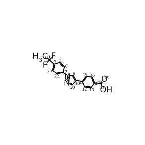 CC(F)(F)c1ccc(-n2cc(-c3ccc(C(=O)O)cc3)cn2)cc1